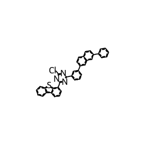 Clc1nc(-c2cccc(-c3ccc4ccc(-c5ccccc5)cc4c3)c2)nc(-c2cccc3c2sc2ccccc23)n1